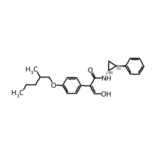 CCCC(C)COc1ccc(C(=CO)C(=O)N[C@@H]2C[C@H]2c2ccccc2)cc1